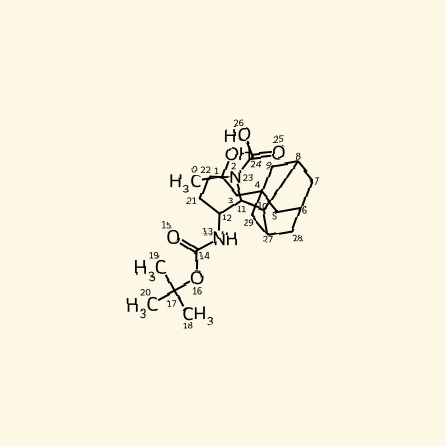 CC(O)CC12CC3CC(C1)C(C1C(NC(=O)OC(C)(C)C)CCN1C(=O)O)C(C3)C2